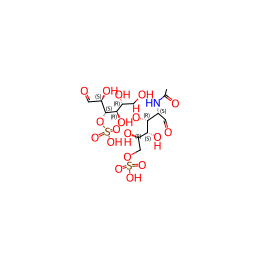 CC(=O)N[C@H](C=O)[C@@H](O)[C@H](O)[C@H](O)COS(=O)(=O)O.O=C[C@@H](O)[C@@H](OS(=O)(=O)O)[C@H](O)[C@H](O)CO